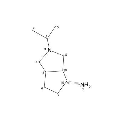 CC(C)N1CC2CC[C@@H](N)C2C1